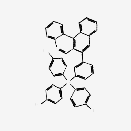 CC(C)(C)c1ccc([Si](c2ccc(C(C)(C)C)cc2)(c2ccc(C(C)(C)C)cc2)c2cccc(-c3cc4ccccc4c4c3cnc3ccccc34)c2)cc1